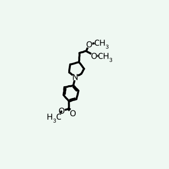 COC(=O)c1ccc(N2CCC(CC(OC)OC)CC2)cc1